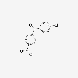 O=C(Cl)c1ccc(C(=O)c2ccc(Cl)cc2)cc1